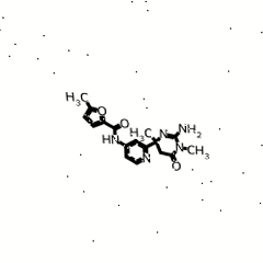 Cc1ccc(C(=O)Nc2ccnc(C3(C)CC(=O)N(C)C(N)=N3)c2)o1